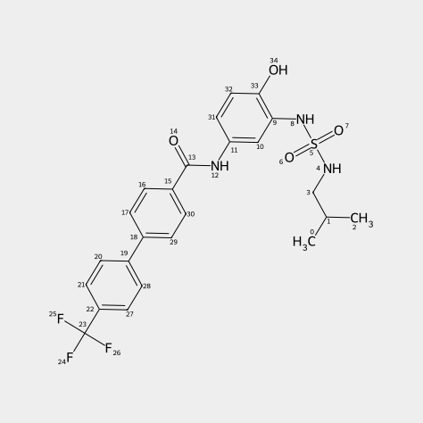 CC(C)CNS(=O)(=O)Nc1cc(NC(=O)c2ccc(-c3ccc(C(F)(F)F)cc3)cc2)ccc1O